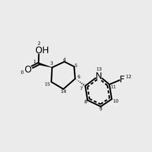 O=C(O)[C@H]1CC[C@H](c2cccc(F)n2)CC1